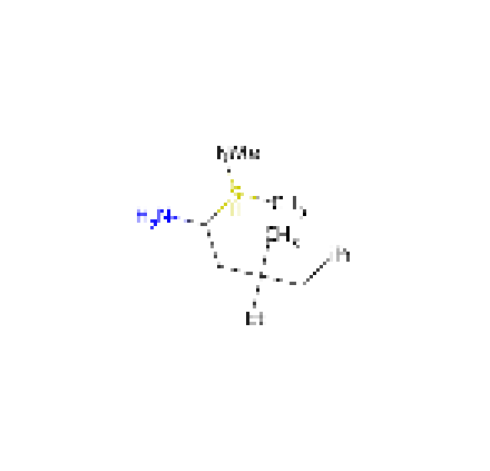 CCC(C)(CC(C)C)CC(N)[SH](C)NC